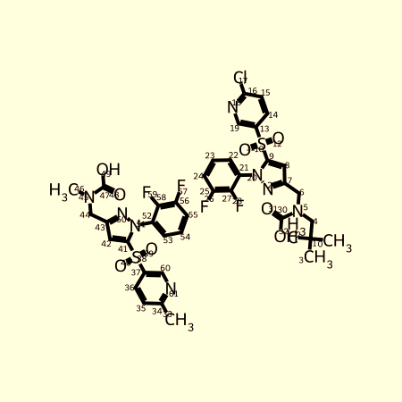 CC(C)(C)CN(Cc1cc(S(=O)(=O)c2ccc(Cl)nc2)n(-c2cccc(F)c2F)n1)C(=O)O.Cc1ccc(S(=O)(=O)c2cc(CN(C)C(=O)O)nn2-c2cccc(F)c2F)cn1